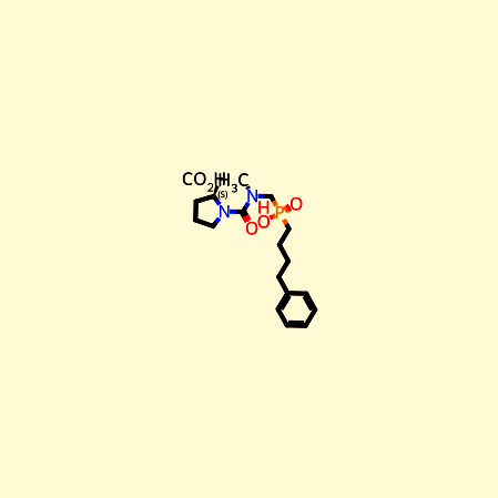 CN(CP(=O)(O)CCCCc1ccccc1)C(=O)N1CCC[C@H]1C(=O)O